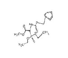 CCOP(=O)(OCC)C(NC(=O)OCc1ccccc1)C(=O)OC